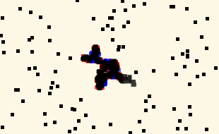 Cc1ccc(-c2nc(-c3ccc(Cc4cccc(-c5nc6cc(-c7ccc(-c8nc(-c9ccc%10ccccc%10c9)nc(-c9ccc%10ccccc%10c9)n8)cc7)ccc6c6c(-c7ccccc7)cccc56)c4)cc3)nc(-c3ccc(-c4ccc5c(c4)nc(-c4ccccc4)c4cccc(-c6ccccc6)c45)cc3)n2)cc1